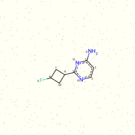 Nc1ccnc(C2CC(F)C2)n1